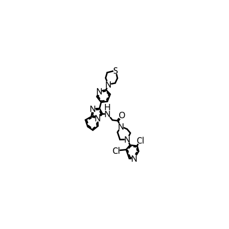 O=C(CNc1c(-c2ccc(N3CCSCC3)nc2)nc2ccccn12)N1CCN(c2c(Cl)cncc2Cl)CC1